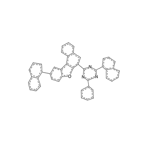 c1ccc(-c2nc(-c3cccc4ccccc34)nc(-c3cc4ccccc4c4c3oc3ccc(-c5cccc6ccccc56)cc34)n2)cc1